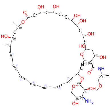 COC[C@H](C)NC(=O)[C@H]1[C@@H]2CC(O[C@@H]3OC[C@@H](O)[C@H](N)[C@@H]3O)/C=C/C=C/C=C/C=C/C=C/C=C/C=C/[C@H](C)[C@@H](O)C[C@H](C)OC(=O)CC(O)CC(O)CCC(O)C(O)CC(O)CC(O)(C[C@@H]1O)O2